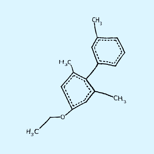 CCOc1cc(C)c(-c2cccc(C)c2)c(C)c1